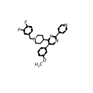 COc1cccc(-c2cnc(-c3ccncc3)nc2C2CCN(Cc3ccc(F)c(F)c3)CC2)c1